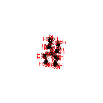 O=C(OC[C@H]1OC(OC(=O)c2cc(O)c(O)c(OC(=O)c3cc(O)c(O)c(O)c3)c2)C[C@@H](OC(=O)c2cc(O)c(O)c(OC(=O)c3cc(O)c(O)c(O)c3)c2)[C@@H]1OC(=O)c1cc(O)c(O)c(OC(=O)c2cc(O)c(O)c(O)c2)c1)c1cc(O)c(O)c(OC(=O)c2cc(O)c(O)c(O)c2)c1